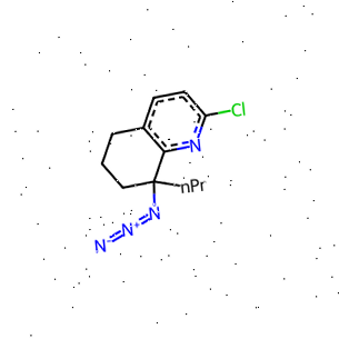 CCCC1(N=[N+]=[N-])CCCc2ccc(Cl)nc21